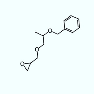 CC(COCC1CO1)OCc1ccccc1